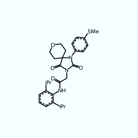 CSc1ccc(N2C(=O)N(CC(=O)Nc3c(C(C)C)cccc3C(C)C)C(=O)C23CCOCC3)cc1